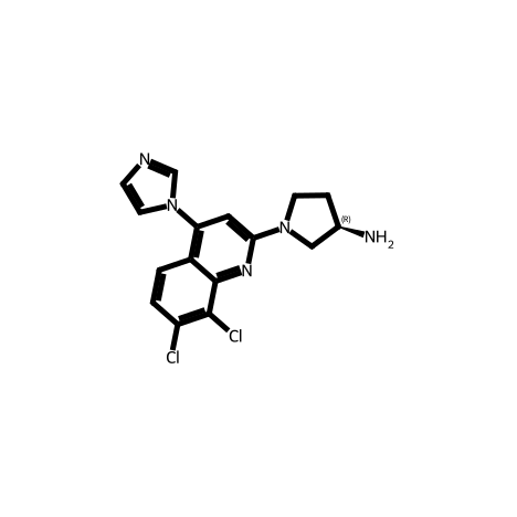 N[C@@H]1CCN(c2cc(-n3ccnc3)c3ccc(Cl)c(Cl)c3n2)C1